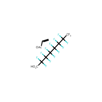 C=COC(C)=O.O=C(O)C(F)(F)C(F)(F)C(F)(F)C(F)(F)C(F)(F)C(F)(F)C(F)(F)F